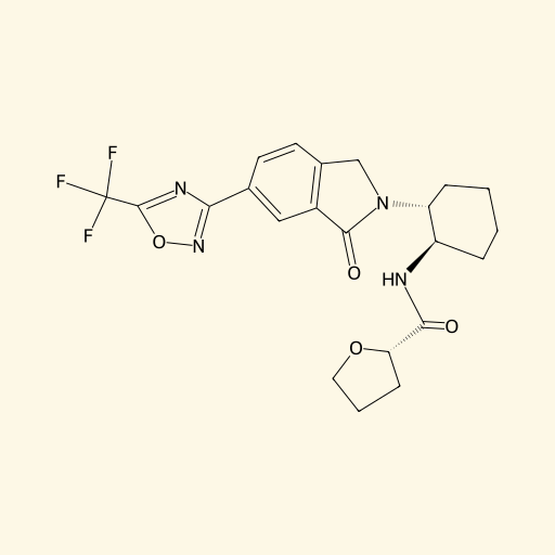 O=C(N[C@@H]1CCCC[C@H]1N1Cc2ccc(-c3noc(C(F)(F)F)n3)cc2C1=O)[C@@H]1CCCO1